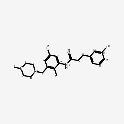 Cc1c(CN2CCN(C)CC2)cc(F)cc1NC(=O)CCc1cccc(F)c1